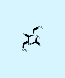 C=COC(=O)/C=C/C.CC(=O)O